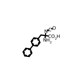 NC(Cc1ccc(-c2ccccc2)cc1)(N=C=O)C(=O)O